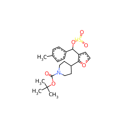 Cc1ccc(C(O[SH](=O)=O)c2ccoc2C2CCN(C(=O)OC(C)(C)C)CC2)cc1